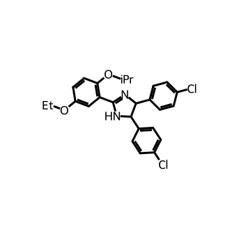 CCOc1ccc(OC(C)C)c(C2=NC(c3ccc(Cl)cc3)C(c3ccc(Cl)cc3)N2)c1